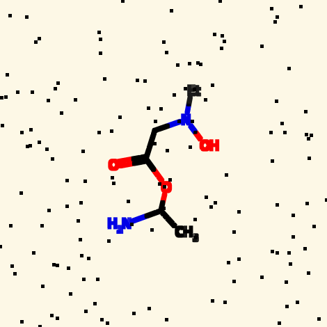 CCN(O)CC(=O)OC(C)N